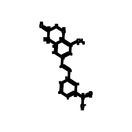 Cc1cc(/C=C/c2cccc([N+](=O)[O-])c2)cc2c1OCC(=O)N2